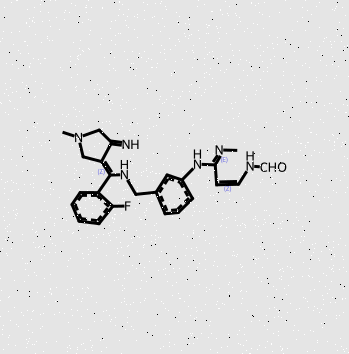 C/N=C(\C=C/NC=O)Nc1cccc(CN/C(=C2/CN(C)CC2=N)c2ccccc2F)c1